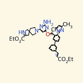 CCOC(=O)/C=C/c1cccc(-c2ccc(-n3ccc(C)n3)c([C@@H](Oc3cc(N4CCC5(CC4)CN[C@H](C(=O)OCC)C5)nc(N)n3)C(F)(F)F)c2)c1